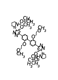 COCCOc1cc(-c2nnc([C@@H]3CCCN3C(=O)OC(C)(C)C)s2)ccc1-c1ccc(-c2nnc([C@@H]3CCCN3C(=O)OC(C)(C)C)s2)cc1OCCOC